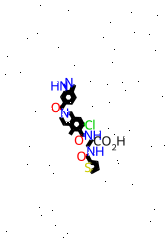 Cc1c2c(cc(Cl)c1C(=O)N[C@@H](CNC(=O)c1cccs1)C(=O)O)CN(C(=O)c1ccc3cn[nH]c3c1)CC2